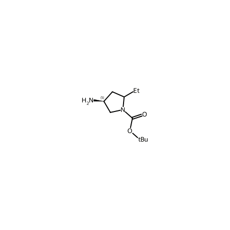 CCC1C[C@H](N)CN1C(=O)OC(C)(C)C